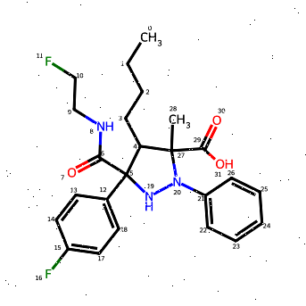 CCCCC1C(C(=O)NCCF)(c2ccc(F)cc2)NN(c2ccccc2)C1(C)C(=O)O